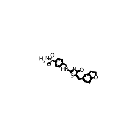 NS(=O)(=O)c1ccc(CNC2=NC(=O)C(=Cc3ccc4c(c3)CCO4)S2)cc1